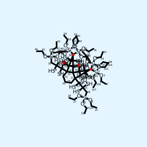 CCO[Si](CC(S)(S)C(S)(S)C1(C(S)(S)C(S)(S)C[Si](OCC)(OCC)OCC)CCCC(C(S)(S)C(S)(S)C[Si](OCC)(OCC)OCC)(C(S)(S)C(S)(S)C[Si](OCC)(OCC)OCC)C1(C(S)(S)C(S)(S)C[Si](OCC)(OCC)OCC)C(S)(S)C(S)(S)C[Si](OCC)(OCC)OCC)(OCC)OCC